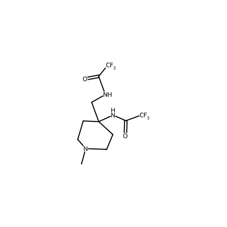 CN1CCC(CNC(=O)C(F)(F)F)(NC(=O)C(F)(F)F)CC1